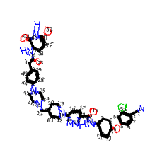 N#Cc1ccc(OC2CCC(NC(=O)c3ccc(N4CCC(CN5CCN(c6ccc(CC(=O)NC7CCC(=O)NC7=O)cc6)CC5)CC4)nn3)CC2)cc1Cl